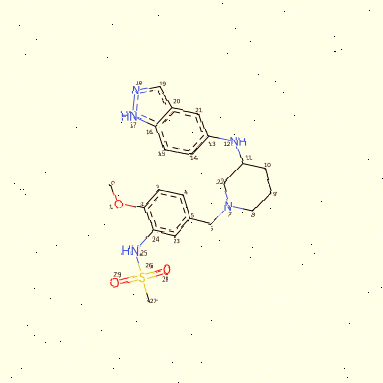 COc1ccc(CN2CCCC(Nc3ccc4[nH]ncc4c3)C2)cc1NS(C)(=O)=O